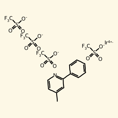 Cc1ccnc(-c2ccccc2)c1.O=S(=O)([O-])C(F)(F)F.O=S(=O)([O-])C(F)(F)F.O=S(=O)([O-])C(F)(F)F.O=S(=O)([O-])C(F)(F)F.[Ir+4]